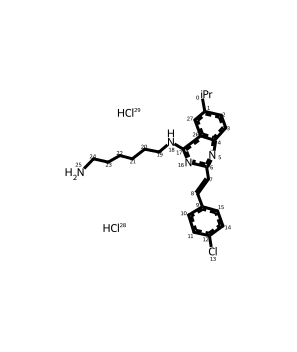 CC(C)c1ccc2nc(C=Cc3ccc(Cl)cc3)nc(NCCCCCCN)c2c1.Cl.Cl